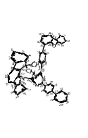 CC1(C)c2ccccc2-c2ccc3c4ccccc4n(-c4nc(-c5ccc(-c6ccccc6)cc5)nc(-c5ccc(-c6cccc7c6oc6ccccc67)cc5)n4)c3c21